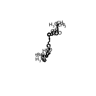 CN1CCC[C@@H]1c1cc2cnc(NC(=O)N3CCC(CCC#Cc4cccc5c4CN(C4CCC(=O)N(COCC[Si](C)(C)C)C4=O)C5=O)CC3)cc2n1C(=O)OC(C)(C)C